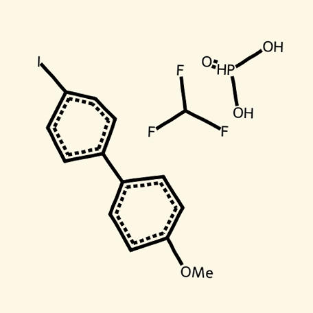 COc1ccc(-c2ccc(I)cc2)cc1.FC(F)F.O=[PH](O)O